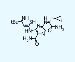 CC(C)(C)C(=N)/C=C(\S)Nc1nc(N[C@H](CC2CC2)C(N)=O)cnc1C(N)=O